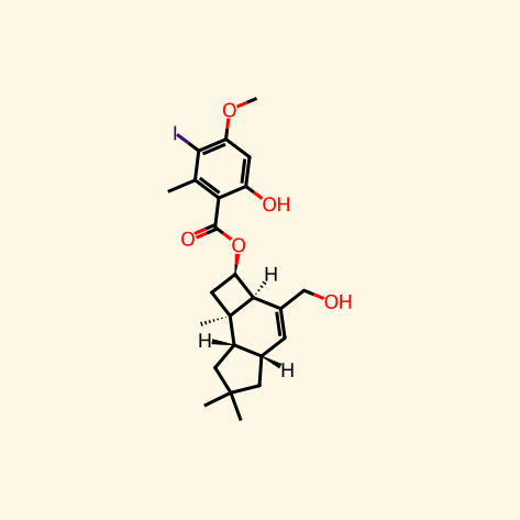 COc1cc(O)c(C(=O)O[C@@H]2C[C@@]3(C)[C@@H]2C(CO)=C[C@@H]2CC(C)(C)C[C@@H]23)c(C)c1I